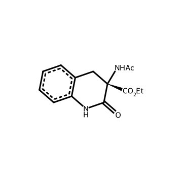 CCOC(=O)[C@]1(NC(C)=O)Cc2ccccc2NC1=O